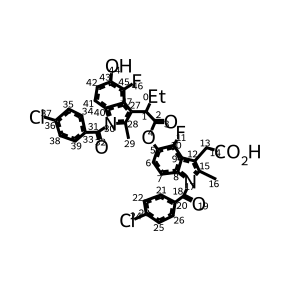 CCC(C(=O)Oc1ccc2c(c1F)c(CC(=O)O)c(C)n2C(=O)c1ccc(Cl)cc1)c1c(C)n(C(=O)c2ccc(Cl)cc2)c2ccc(O)c(F)c12